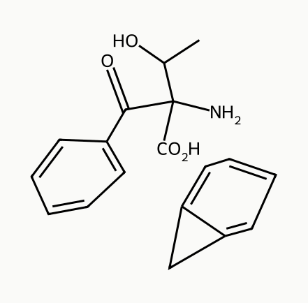 CC(O)C(N)(C(=O)O)C(=O)c1ccccc1.c1ccc2c(c1)C2